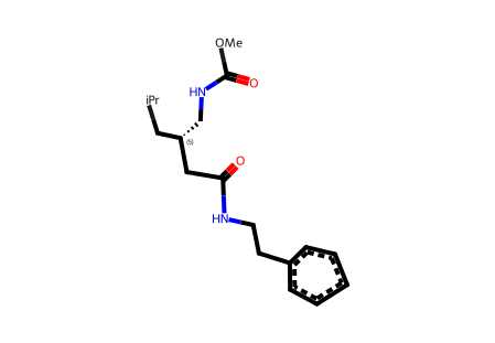 COC(=O)NC[C@H](CC(=O)NCCc1ccccc1)CC(C)C